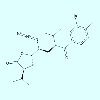 Cc1ccc(C(=O)[C@@H](C[C@H](N=[N+]=[N-])[C@@H]2C[C@@H](C(C)C)C(=O)O2)C(C)C)cc1Br